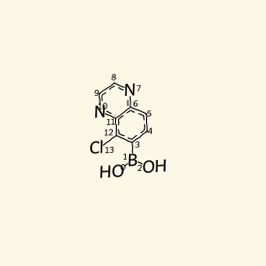 OB(O)c1ccc2nccnc2c1Cl